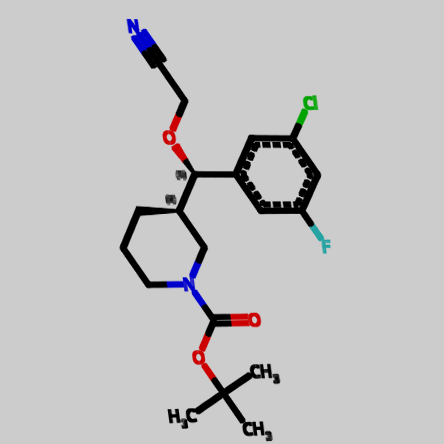 CC(C)(C)OC(=O)N1CCC[C@@H]([C@@H](OCC#N)c2cc(F)cc(Cl)c2)C1